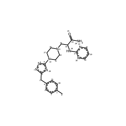 Cc1ccc(Cc2nsc(N3CCN(CC(Nc4ncccn4)C(N)=O)CC3)n2)cc1